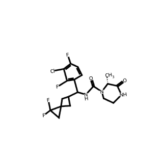 C[C@@H]1C(=O)NCCN1C(=O)NC(c1ccc(F)c(Cl)c1F)C1CC2(C1)CC2(F)F